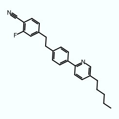 CCCCCc1ccc(-c2ccc(CCc3ccc(C#N)c(F)c3)cc2)nc1